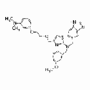 COc1cccc(CN(Cc2ccc3[nH]cnc3c2)c2nc(COCCOc3cccc(N(C)C)c3)cs2)c1